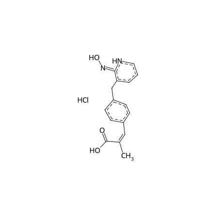 CC(=Cc1ccc(Cc2ccc[nH]c2=NO)cc1)C(=O)O.Cl